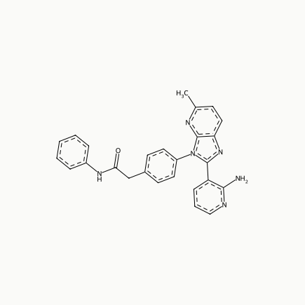 Cc1ccc2nc(-c3cccnc3N)n(-c3ccc(CC(=O)Nc4ccccc4)cc3)c2n1